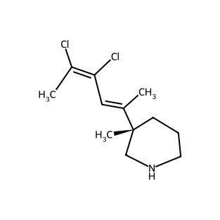 C/C(Cl)=C(Cl)\C=C(/C)[C@]1(C)CCCNC1